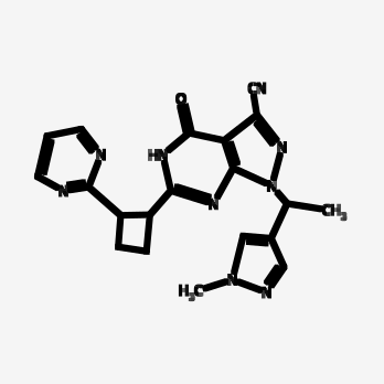 CC(c1cnn(C)c1)n1nc(C#N)c2c(=O)[nH]c(C3CCC3c3ncccn3)nc21